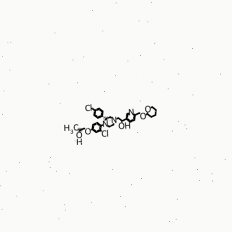 C[C@@H](O)COc1ccc(N2CCN(CC(O)c3ccc(COC4CCCCO4)nc3)C[C@H]2c2ccc(Cl)cc2)c(Cl)c1